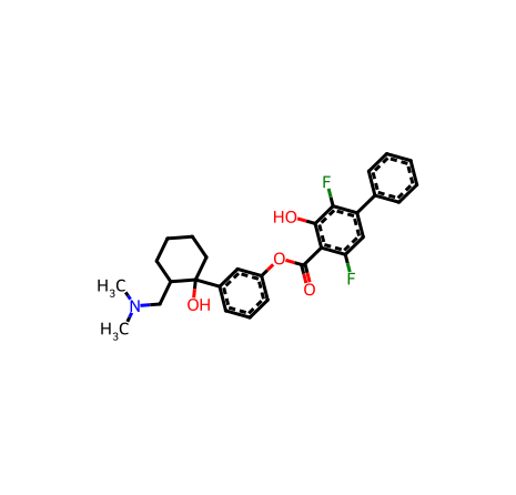 CN(C)CC1CCCCC1(O)c1cccc(OC(=O)c2c(F)cc(-c3ccccc3)c(F)c2O)c1